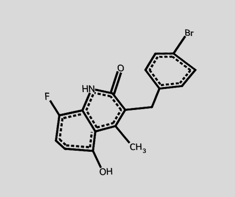 Cc1c(Cc2ccc(Br)cc2)c(=O)[nH]c2c(F)ccc(O)c12